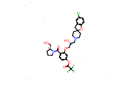 O=C(c1ccc(OC(=O)C(F)(F)F)cc1OC[C@H](O)CN1CCC2(CC1)Cc1cc(Cl)ccc1O2)N1CCC[C@H]1CO